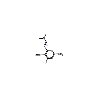 CN(C)/C=N/c1cc(N)cc(O)c1C#N